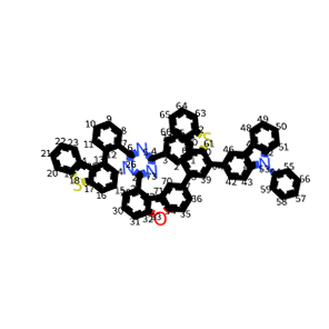 c1ccc(-c2nc(-c3ccccc3-c3cccc4sc5ccccc5c34)nc(-c3cccc4oc5ccc(-c6cc(-c7ccc8c(c7)c7ccccc7n8-c7ccccc7)c7sc8ccccc8c7c6)cc5c34)n2)cc1